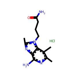 Cc1nc(N)c2nc(C)n(CCCC(N)=O)c2c1C.Cl